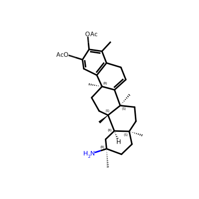 CC(=O)Oc1cc2c(c(C)c1OC(C)=O)CC=C1[C@@]2(C)CC[C@@]2(C)[C@@H]3C[C@](C)(N)CC[C@]3(C)CC[C@]12C